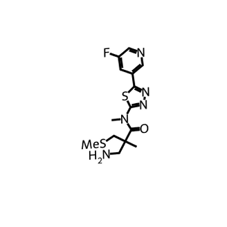 CSCC(C)(CN)C(=O)N(C)c1nnc(-c2cncc(F)c2)s1